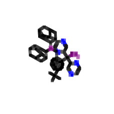 CC(C)(C)[C]12[CH]3[C]4(CP(C5C6CC7CC(C6)CC5C7)C5C6CC7CC(C6)CC5C7)[C]5(C(P)(c6cnccn6)c6cnccn6)[CH]1[Fe]34251678[CH]2[CH]1[CH]6[CH]7[CH]28